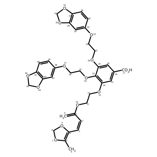 C=C(/C=C\C1=C(C)OCO1)OCCOc1cc(C(=O)O)cc(OCCOc2ccc3c(c2)OCO3)c1OCCOc1ccc2c(c1)OCO2